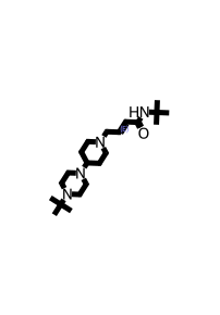 CC(C)(C)NC(=O)/C=C/CN1CCC(N2CCN(C(C)(C)C)CC2)CC1